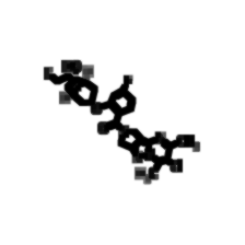 Cc1nc2c3c(nn2c(C)c1Cl)CN(C(=O)c1ccc(F)cc1O[C@H]1C[C@H]2C[C@H](O)[C@@H](C1)N2CCF)C3